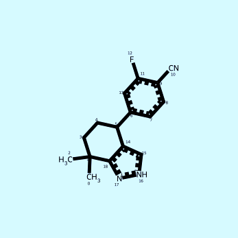 CC1(C)CCC(c2ccc(C#N)c(F)c2)c2c[nH]nc21